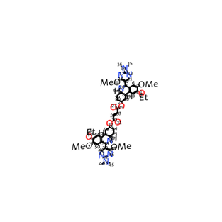 CCOc1cc2c(cc1OC)C(c1cnc(N(C)C)nc1OC)=N[C@@H]1CC[C@@H](OC(=O)/C=C/C(=O)O[C@@H]3CC[C@H]4N=C(c5cnc(N(C)C)nc5OC)c5cc(OC)c(OCC)cc5[C@H]4C3)C[C@H]21